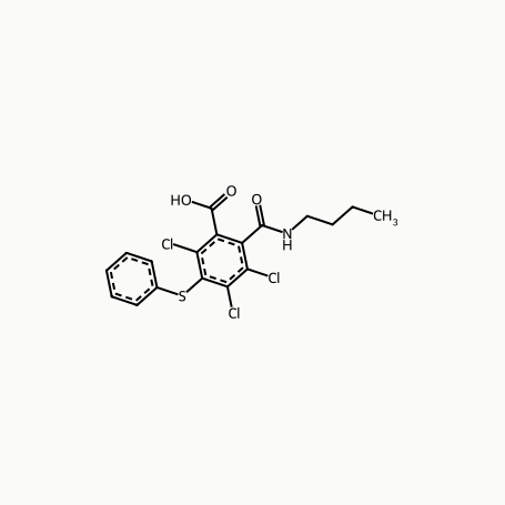 CCCCNC(=O)c1c(Cl)c(Cl)c(Sc2ccccc2)c(Cl)c1C(=O)O